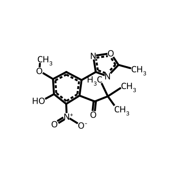 COc1cc(-c2noc(C)n2)c(C(=O)C(C)(C)C)c([N+](=O)[O-])c1O